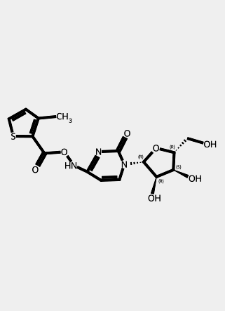 Cc1ccsc1C(=O)ONc1ccn([C@@H]2O[C@H](CO)[C@@H](O)[C@H]2O)c(=O)n1